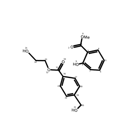 COC(=O)c1ccccc1O.O=C(OCCO)c1ccc(CO)cc1